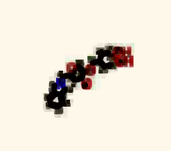 O=c1cc(CN2Cc3ccccc3C2)occ1OCC1CCS(O)(O)CC1